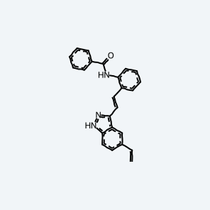 C=Cc1ccc2[nH]nc(/C=C/c3ccccc3NC(=O)c3ccccc3)c2c1